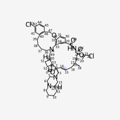 CO[C@@]1(CN2CCN3CCCC[C@@H]3C2)/C=C/C[C@H](C)[C@@H](CCCl)S(=O)(=O)NC(=O)c2ccc3c(c2)N(CCCCc2cc(Cl)ccc2CO3)C[C@@H]2CC[C@H]21